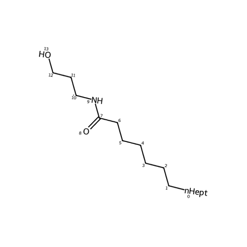 CCCCCCCCCCCCCC(=O)N[CH]CCO